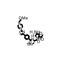 COCCN1CCN(c2nc(-c3ccc(C(=O)N[C@@H](CC(C)(C)C)C(=O)N4C[C@H](N)[C@H]5OCC(=O)[C@H]54)cc3)cs2)CC1